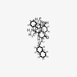 CNC(=O)[C@]1(Cc2ccccc2)CN(C(=O)[C@@H](COc2ccc3ccccc3c2)NC(=O)C(C)(C)N)CCC1=N